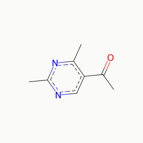 CC(=O)c1cnc(C)nc1C